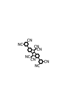 N#CC(C#N)=C1C2=C(C(=C(C#N)C#N)c3cc(-c4cc(C#N)cc(C#N)c4)ccc32)c2ccc(-c3cc(C#N)cc(C#N)c3)cc21